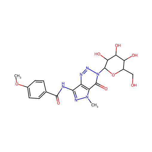 COc1ccc(C(=O)Nc2nn(C)c3c(=O)n(C4OC(CO)C(O)C(O)C4O)nnc23)cc1